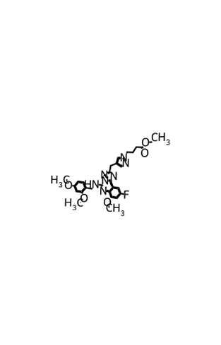 CCOC(=O)CCCn1cc(Cc2nc3c4cc(F)cc(OC)c4nc(NCc4ccc(OC)cc4OC)n3n2)cn1